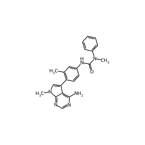 Cc1cc(NC(=O)N(C)c2ccccc2)ccc1-c1cn(C)c2ncnc(N)c12